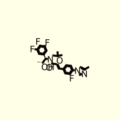 Cc1cn(-c2ccc(C=C3OC(C)(C)CN([C@H](c4cc(F)c(F)c(F)c4)[C@@H](C)O)C3=O)cc2F)cn1